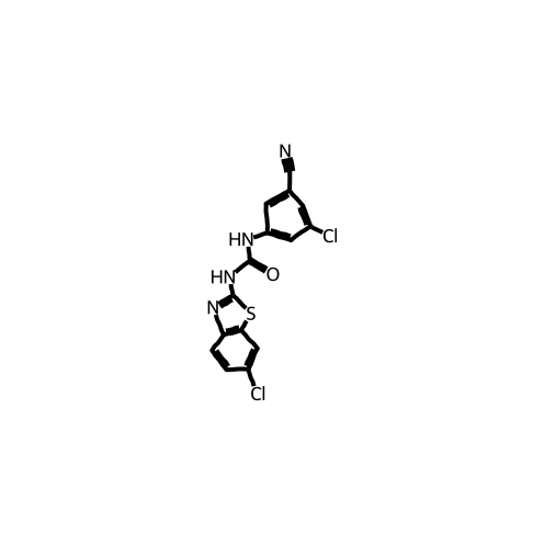 N#Cc1cc(Cl)cc(NC(=O)Nc2nc3ccc(Cl)cc3s2)c1